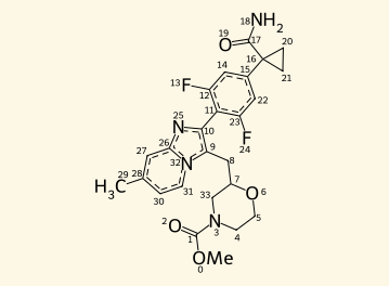 COC(=O)N1CCOC(Cc2c(-c3c(F)cc(C4(C(N)=O)CC4)cc3F)nc3cc(C)ccn23)C1